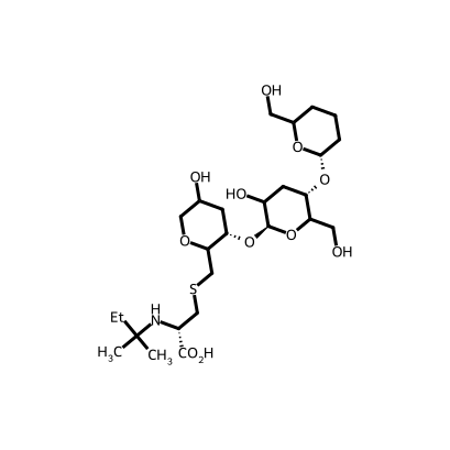 CCC(C)(C)N[C@H](CSCC1OCC(O)C[C@@H]1O[C@@H]1OC(CO)[C@@H](O[C@H]2CCCC(CO)O2)CC1O)C(=O)O